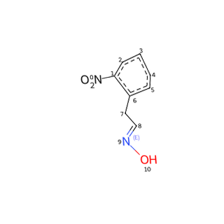 O=[N+]([O-])c1ccccc1C/C=N/O